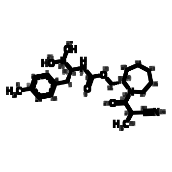 Cc1ccc(C[C@H](NC(=O)OC[C@@H]2CCCCCN2C(=O)C(C)C#N)B(O)O)cc1